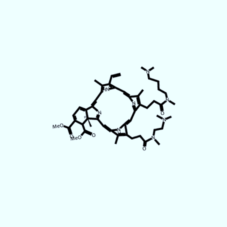 C=Cc1c(C)c2cc3nc(cc4[nH]c(cc5nc(cc1[nH]2)C(C)=C5CCC(=O)N(C)CCCCN(C)C)c(CCC(=O)N(C)CCN(C)C)c4C)[C@@]1(C)C3=CC=C(C(=O)OC)C1C(=O)OC